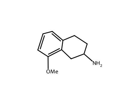 COc1cccc2c1CC(N)CC2